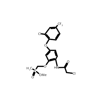 COP(C)(=O)COc1cc(Oc2ccc(C(F)(F)F)cc2Cl)ccc1NC(=O)CCl